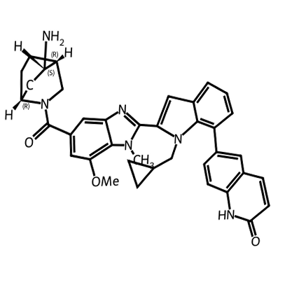 COc1cc(C(=O)N2C[C@H]3CC[C@@H]2C[C@@H]3N)cc2nc(-c3cc4cccc(-c5ccc6[nH]c(=O)ccc6c5)c4n3CC3CC3)n(C)c12